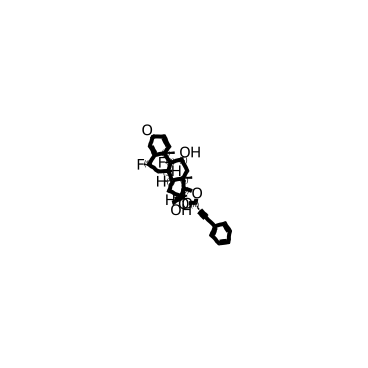 C[C@]12C=CC(=O)C=C1[C@@H](F)C[C@H]1[C@@H]3C[C@H]4O[C@@H](C#Cc5ccccc5)O[C@@]4(C(=O)CO)[C@@]3(C)C[C@H](O)[C@@]12F